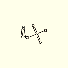 C#N.O=S(=O)(Cl)Cl